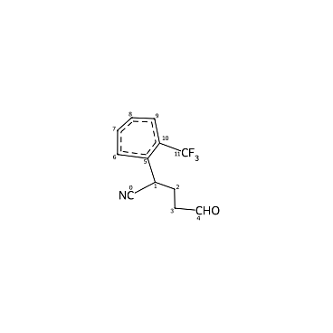 N#CC(CCC=O)c1ccccc1C(F)(F)F